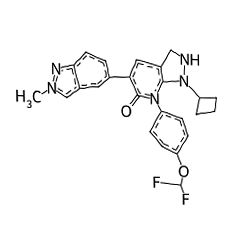 Cn1cc2cc(-c3cc4c(n(-c5ccc(OC(F)F)cc5)c3=O)N(C3CCC3)NC4)ccc2n1